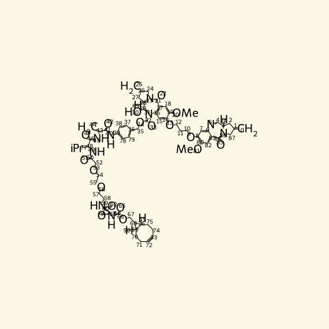 C=C1C[C@H]2C=Nc3cc(OCCCOc4cc5c(cc4OC)C(=O)N4CC(=C)C[C@H]4[C@H](O)N5C(=O)OCc4ccc(NC(=O)[C@H](C)NC(=O)[C@@H](NC(=O)COCCOCCNS(=O)(=O)NC(=O)OCC5[C@H]6CCC#CCC[C@@H]56)C(C)C)cc4)c(OC)cc3C(=O)N2C1